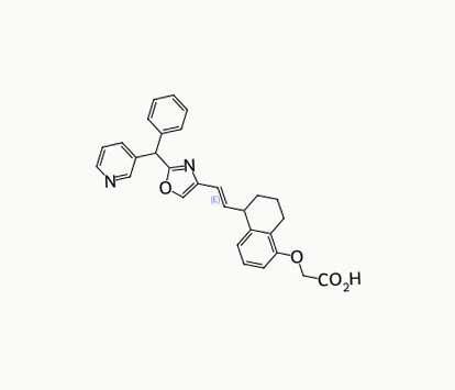 O=C(O)COc1cccc2c1CCCC2/C=C/c1coc(C(c2ccccc2)c2cccnc2)n1